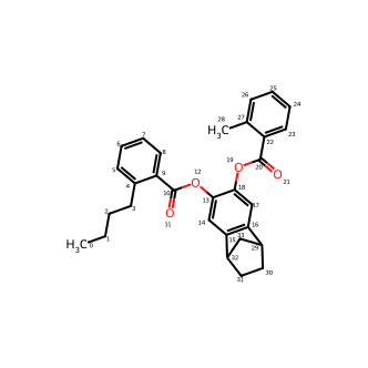 CCCCc1ccccc1C(=O)Oc1cc2c(cc1OC(=O)c1ccccc1C)C1CCC2C1